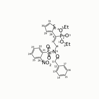 CCOP(=O)(OCC)C(=CCN(OCc1ccccc1)S(=O)(=O)c1ccccc1[N+](=O)[O-])c1cccs1